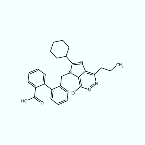 CCCc1nnc(O)c2c1nc(C1CCCCC1)n2Cc1ccccc1-c1ccccc1C(=O)O